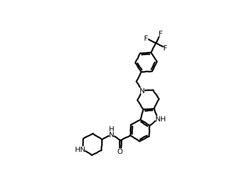 O=C(NC1CCNCC1)c1ccc2[nH]c3c(c2c1)CN(Cc1ccc(C(F)(F)F)cc1)CC3